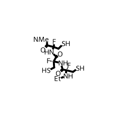 CCN[C@](F)(CS)C(=O)N[C@@](F)(CS)C(=O)NC(F)(CS)C(=O)NC